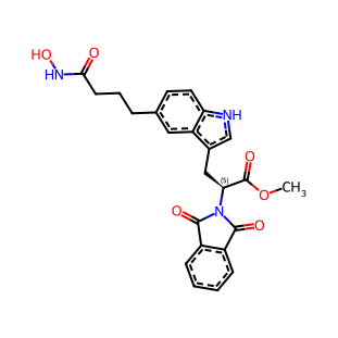 COC(=O)[C@H](Cc1c[nH]c2ccc(CCCC(=O)NO)cc12)N1C(=O)c2ccccc2C1=O